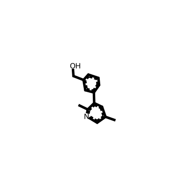 Cc1cnc(C)c(-c2cccc(CO)c2)c1